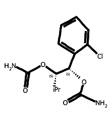 CC(C)[C@H](OC(N)=O)[C@@H](OC(N)=O)c1ccccc1Cl